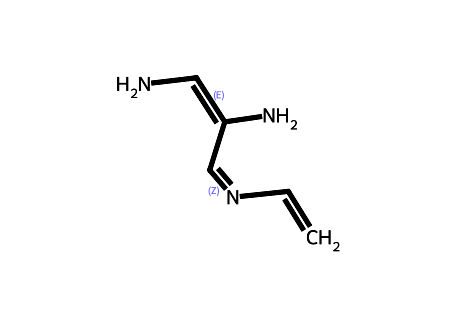 C=C/N=C\C(N)=C/N